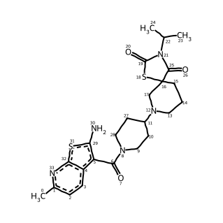 Cc1ccc2c(C(=O)N3CCC(N4CCCC5(C4)SC(=O)N(C(C)C)C5=O)CC3)c(N)sc2n1